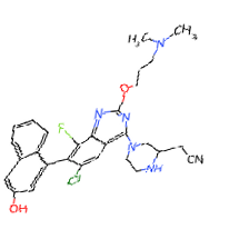 CN(C)CCCOc1nc(N2CCNC(CC#N)C2)c2cc(Cl)c(-c3cc(O)cc4ccccc34)c(F)c2n1